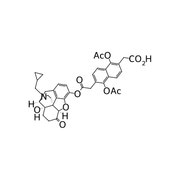 CC(=O)Oc1c(CC(=O)O)ccc2c(OC(C)=O)c(CC(=O)Oc3ccc4c5c3O[C@H]3C(=O)CC[C@@]6(O)[C@@H](C4)N(CC4CC4)CC[C@]536)ccc12